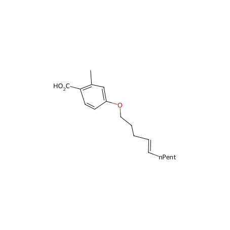 CCCCC/C=C/CCCOc1ccc(C(=O)O)c(C)c1